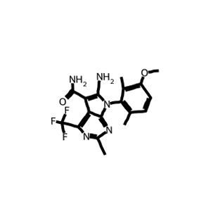 COc1ccc(C)c(-n2c(N)c(C(N)=O)c3c(C(F)(F)F)nc(C)nc32)c1C